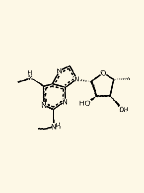 CNc1nc(NC)c2ncn([C@@H]3O[C@H](C)[C@@H](O)[C@H]3O)c2n1